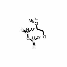 ClCCCl.O=[PH]([O-])O[PH](=O)[O-].[Mg+2]